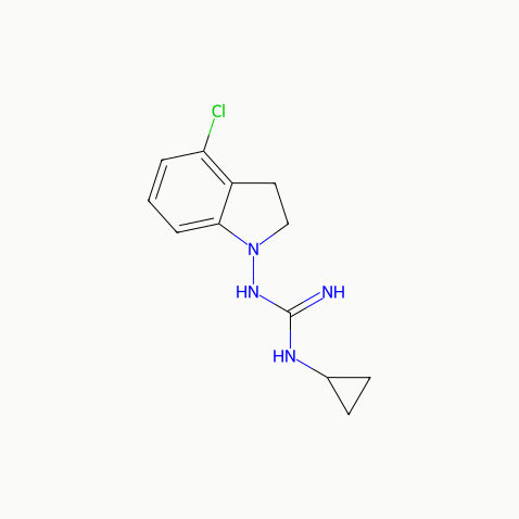 N=C(NC1CC1)NN1CCc2c(Cl)cccc21